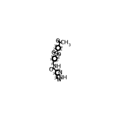 CC(=O)c1ccc(S(=O)(=O)c2ccc(CNC(=O)c3cnc4[nH]ncc4c3)cc2)cc1